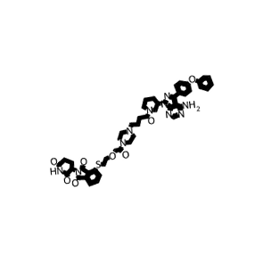 Nc1ncnc2c1c(-c1ccc(Oc3ccccc3)cc1)nn2C1CCCN(C(=O)CCCN2CCN(C(=O)COCCSc3cccc4c3C(=O)N(C3CCC(=O)NC3=O)C4=O)CC2)C1